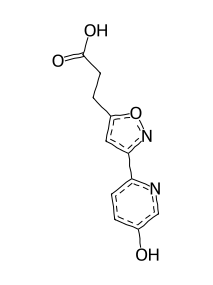 O=C(O)CCc1cc(-c2ccc(O)cn2)no1